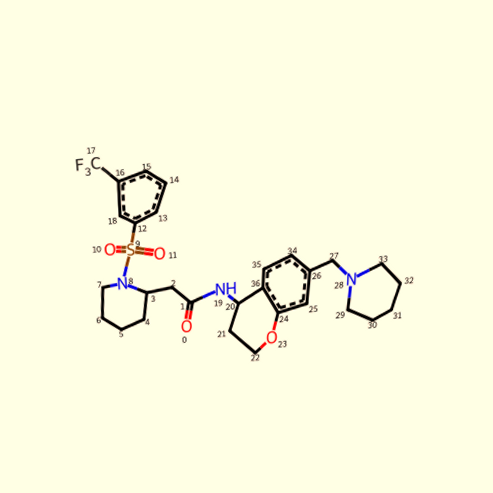 O=C(CC1CCCCN1S(=O)(=O)c1cccc(C(F)(F)F)c1)NC1CCOc2cc(CN3CCCCC3)ccc21